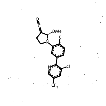 CO[C@H]1C(=C=O)CCN1c1cc(-c2ncc(C(F)(F)F)cc2Cl)ccc1Cl